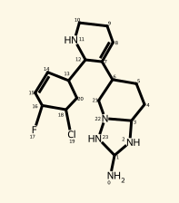 NC1NC2CCC(C3=CCCNC3C3C=CC(F)C(Cl)C3)CN2N1